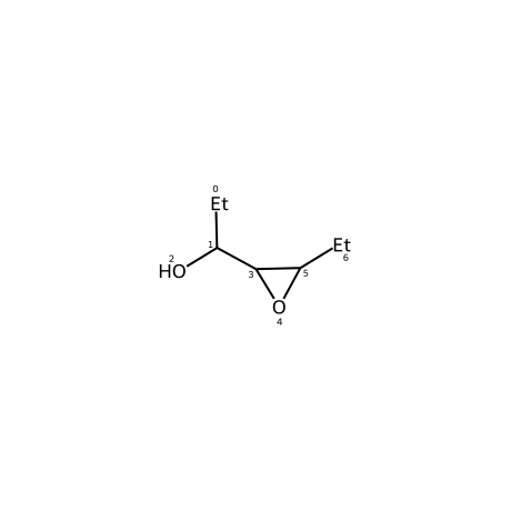 CCC(O)C1OC1CC